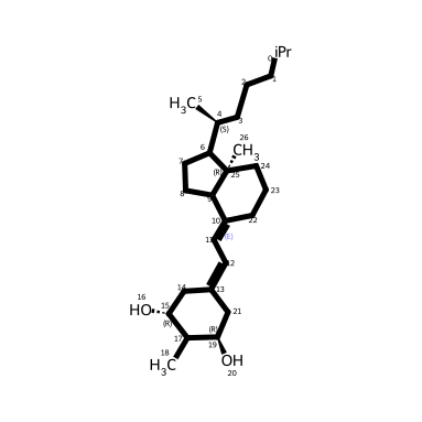 CC(C)CCC[C@H](C)C1CCC2/C(=C/C=C3C[C@@H](O)C(C)[C@H](O)C3)CCC[C@@]21C